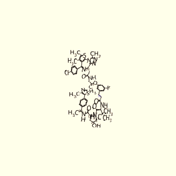 Cc1ncsc1-c1ccc([C@H](C)NC(=O)[C@@H]2C[C@@H](O)CN2C(=O)C(NC(=O)/C=C/c2cc(F)cc(O[C@H](C)CNC(=O)C[C@@H]3N=C(c4ccc(Cl)cc4)c4c(sc(C)c4C)-n4c(C)nnc43)c2)C(C)(C)C)cc1